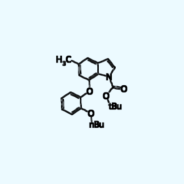 CCCCOc1ccccc1Oc1cc(C)cc2ccn(C(=O)OC(C)(C)C)c12